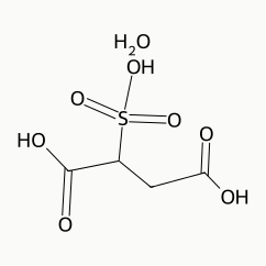 O.O=C(O)CC(C(=O)O)S(=O)(=O)O